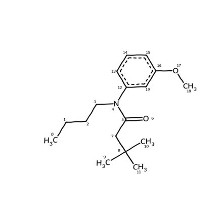 CCCCN(C(=O)CC(C)(C)C)c1cccc(OC)c1